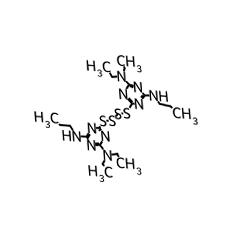 CCCNc1nc(SSSSc2nc(NCCC)nc(N(CC)CC)n2)nc(N(CC)CC)n1